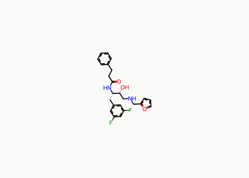 O=C(CCc1ccccc1)N[C@@H](Cc1cc(F)cc(F)c1)[C@H](O)CNCc1ccco1